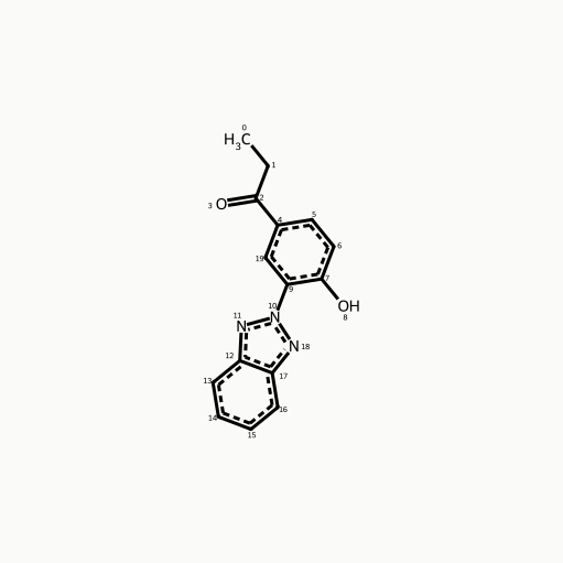 CCC(=O)c1ccc(O)c(-n2nc3ccccc3n2)c1